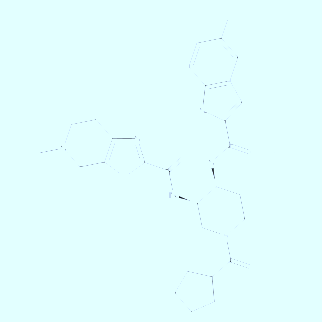 CN1CCc2nc(C(=O)N[C@@H]3CN(C(=O)C4CCCC4)CC[C@@H]3NC(=O)c3cc4cc(Cl)ccc4[nH]3)sc2C1.Cl